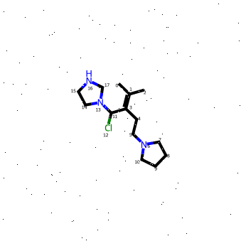 CC(C)=C(CCN1CCCC1)C(Cl)N1CCNC1